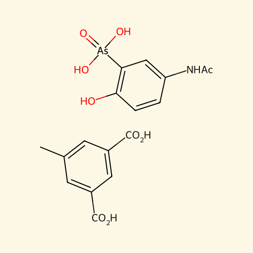 CC(=O)Nc1ccc(O)c([As](=O)(O)O)c1.Cc1cc(C(=O)O)cc(C(=O)O)c1